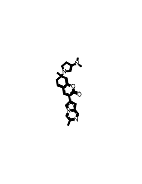 Cc1cn2cc(-c3cc4c(oc3=O)=CC(C)(N3CCC(N(C)C)C3)CC=4)cc2cn1